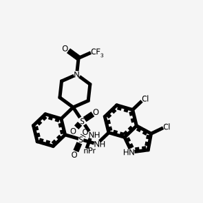 CCCNS(=O)(=O)C1(c2ccccc2S(=O)(=O)Nc2ccc(Cl)c3c(Cl)c[nH]c23)CCN(C(=O)C(F)(F)F)CC1